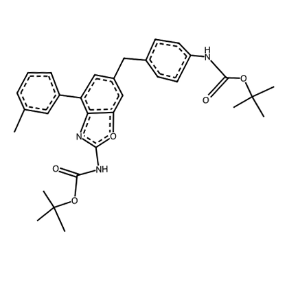 Cc1cccc(-c2cc(Cc3ccc(NC(=O)OC(C)(C)C)cc3)cc3oc(NC(=O)OC(C)(C)C)nc23)c1